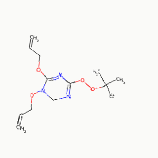 C=CCOC1=NC(OOC(C)(C)CC)=NCN1OCC=C